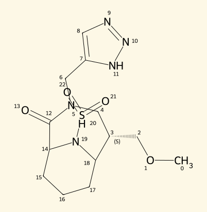 COC[C@H]1CN(Cc2cnn[nH]2)C(=O)C2CCCC1N2[SH](=O)=O